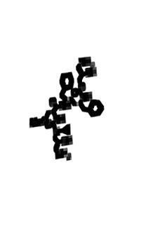 COC[C@H](NC(=O)N(C/C(S)=C/N)C1CC1)C(=O)N[C@@H](CC[C@@H](Cc1ccccc1)NC(=O)OC/C(S)=C/N)Cc1ccccc1